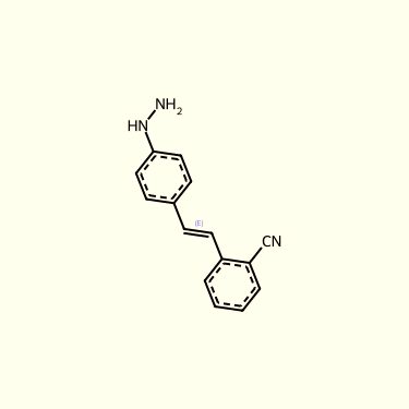 N#Cc1ccccc1/C=C/c1ccc(NN)cc1